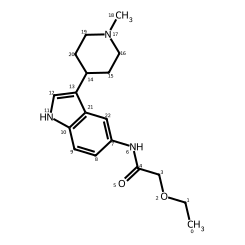 CCOCC(=O)Nc1ccc2[nH]cc(C3CCN(C)CC3)c2c1